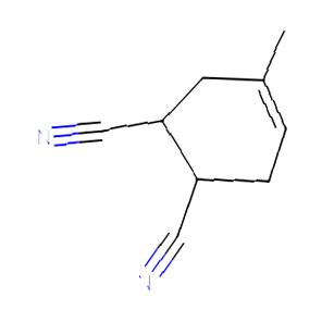 CC1=CCC(C#N)C(C#N)C1